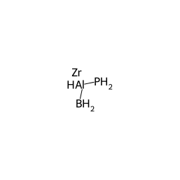 [BH2][AlH][PH2].[Zr]